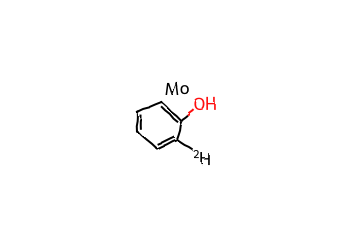 [2H]c1ccccc1O.[Mo]